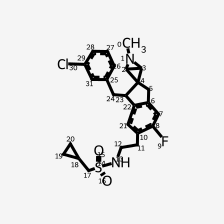 CN1C2C1C21Cc2cc(F)c(CCNS(=O)(=O)CC3CC3)cc2C1Cc1cccc(Cl)c1